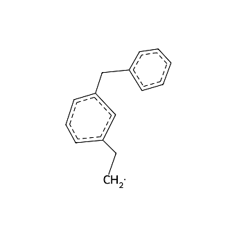 [CH2]Cc1cccc(Cc2ccccc2)c1